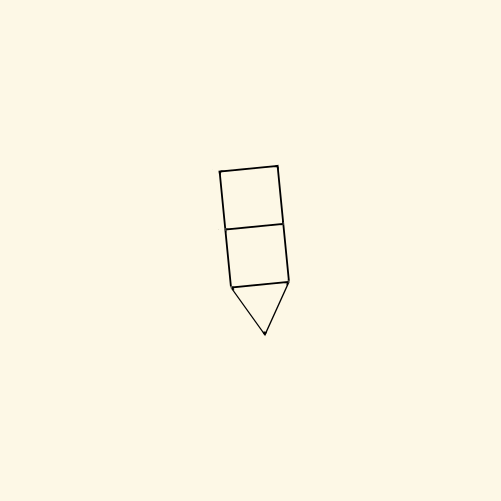 [C]1CC2[C]1C1CC21